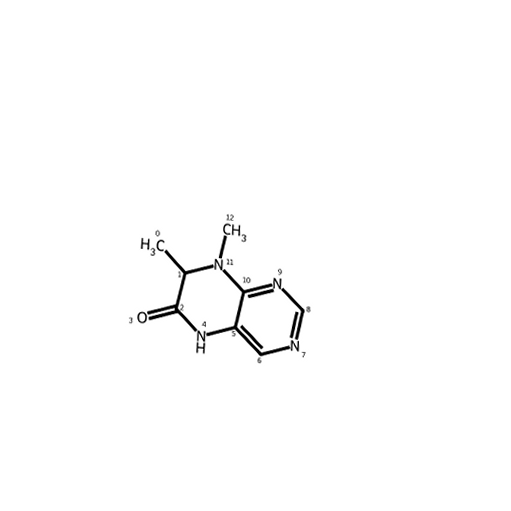 CC1C(=O)Nc2cncnc2N1C